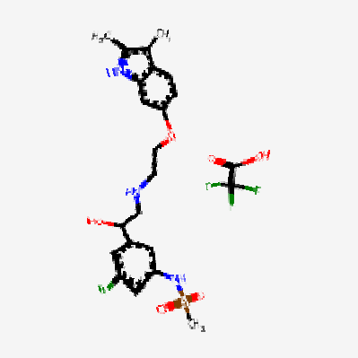 Cc1[nH]c2cc(OCCNCC(O)c3cc(Br)cc(NS(C)(=O)=O)c3)ccc2c1C.O=C(O)C(F)(F)F